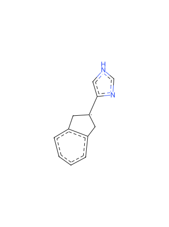 c1ccc2c(c1)C[C](c1c[nH]cn1)C2